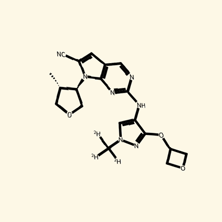 [2H]C([2H])([2H])n1cc(Nc2ncc3cc(C#N)n([C@H]4COC[C@@H]4C)c3n2)c(OC2COC2)n1